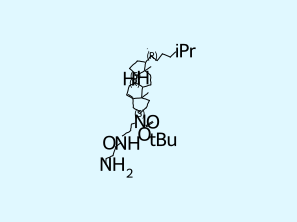 CC(C)CCC[C@@H](C)C1CC[C@H]2[C@H]3CC=C4C[C@@H](N(CCCNC(=O)CCN)C(=O)OC(C)(C)C)CCC4(C)C3CCC12C